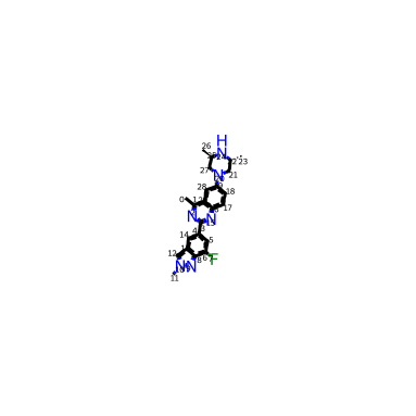 Cc1nc(-c2cc(F)c3nn(C)cc3c2)nc2ccc(N3C[C@@H](C)N[C@H](C)C3)cc12